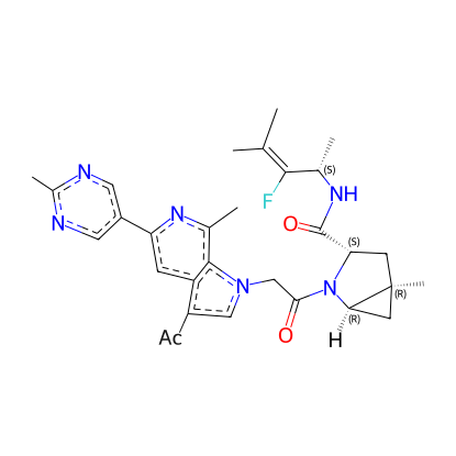 CC(=O)c1cn(CC(=O)N2[C@H](C(=O)N[C@@H](C)C(F)=C(C)C)C[C@@]3(C)C[C@@H]23)c2c(C)nc(-c3cnc(C)nc3)cc12